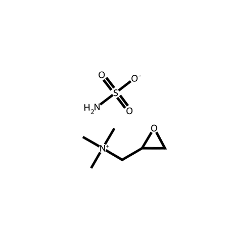 C[N+](C)(C)CC1CO1.NS(=O)(=O)[O-]